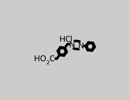 Cl.O=C(O)Cc1ccc(CN2CCN(c3ccccc3)CC2)cc1